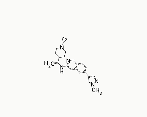 C=C(Nc1cc2cc(-c3cnn(C)c3)ccc2cn1)C1CCN(C2CC2)CC1